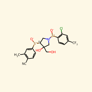 Cc1cc([S+]([O-])[C@H]2CN([S+]([O-])c3ccc(C(F)(F)F)cc3Cl)CC2(O)CO)ccc1C#N